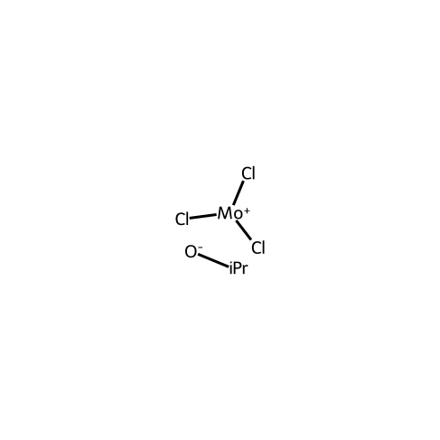 CC(C)[O-].[Cl][Mo+]([Cl])[Cl]